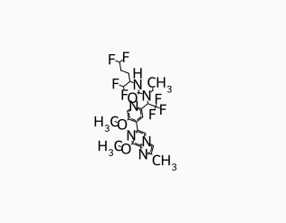 CCN(C(=O)NC(CCC(F)F)C(F)F)C(c1cc(-c2cn3cc(C)nc3c(OC)n2)c(OC)cn1)C(F)(F)F